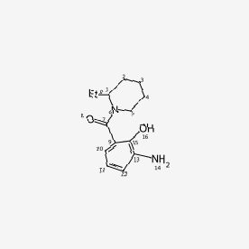 CCC1CCCCN1C(=O)c1cccc(N)c1O